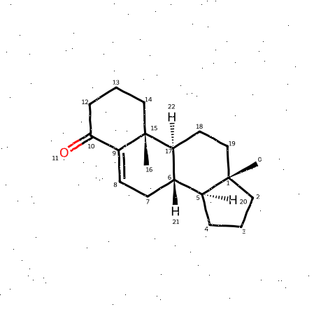 C[C@@]12CCC[C@H]1[C@@H]1CC=C3C(=O)CCC[C@]3(C)[C@H]1CC2